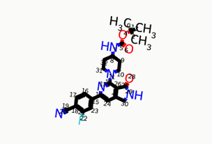 CC(C)(C)OC(=O)NC1CCN(c2nc(-c3ccc(C#N)c(F)c3)cc3c2C(=O)NC3)CC1